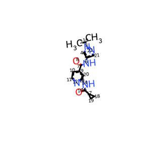 CC(C)n1cc(NC(=O)c2ccnc(NC(=O)C3CC3)c2)cn1